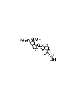 COc1cc2nccc(Oc3ccc4c(C(=O)NCCO)cccc4c3)c2cc1OC